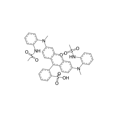 CN(c1ccc2c(-c3ccccc3S(=O)(=O)O)c3ccc(N(C)c4ccccc4NS(C)(=O)=O)cc3[o+]c2c1)c1ccccc1NS(C)(=O)=O